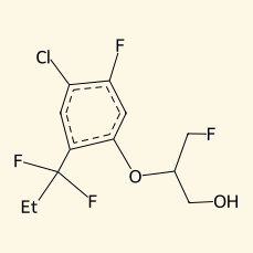 CCC(F)(F)c1cc(Cl)c(F)cc1OC(CO)CF